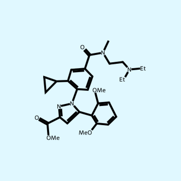 CCN(CC)CCN(C)C(=O)c1ccc(-n2nc(C(=O)OC)cc2-c2c(OC)cccc2OC)c(C2CC2)c1